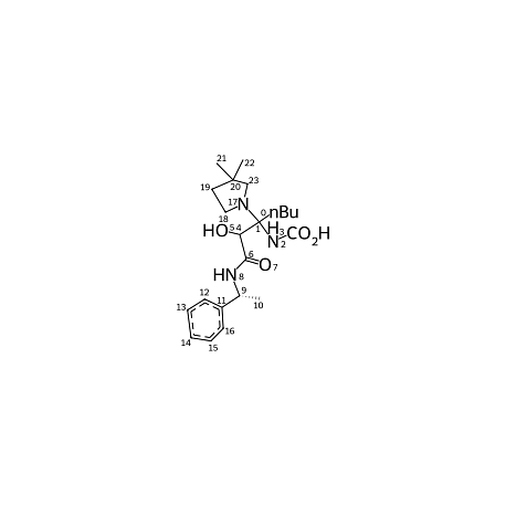 CCCCC(NC(=O)O)(C(O)C(=O)N[C@H](C)c1ccccc1)N1CCC(C)(C)C1